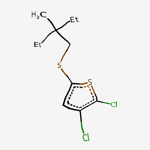 CCC(C)(CC)CSc1cc(Cl)c(Cl)s1